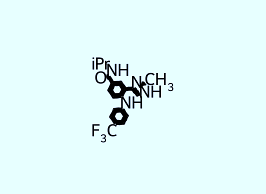 Cc1nc(-c2cc(C(=O)NC(C)C)ccc2Nc2ccc(C(F)(F)F)cc2)c[nH]1